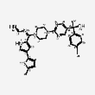 Cc1ccc(-c2c[nH]c(/C(=N\C=N)N3CCN(c4ncc([C@](C)(O)c5ccc(F)cc5)cn4)CC3)c2)s1